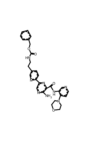 Nc1ncc(-c2ccc(CCNC(=O)OCc3ccccc3)cn2)nc1C(=O)Nc1cnccc1N1CCOCC1